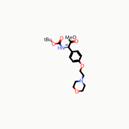 COC(=O)[C@H](NC(=O)OC(C)(C)C)c1ccc(OCCN2CCOCC2)cc1